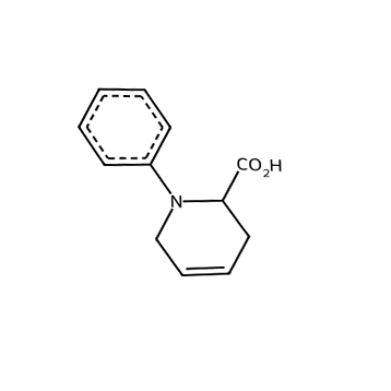 O=C(O)C1CC=CCN1c1ccccc1